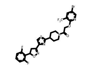 O=C(COc1ncc(Br)cc1C(F)(F)F)N1CCC(c2nc(C3=NOC(c4c(F)cccc4F)C3)cs2)CC1